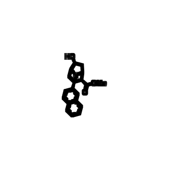 COC(=O)[C@@H]1C2C[C@H](O)C(C[C@@H]1c1ccc3ccccc3c1)N2C